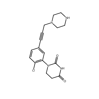 O=C1CCN(c2cc(C#CCN3CCNCC3)ccc2Cl)C(=O)N1